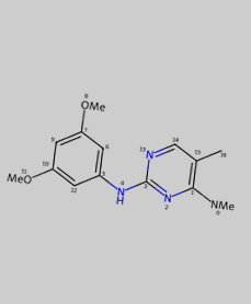 CNc1nc(Nc2cc(OC)cc(OC)c2)ncc1C